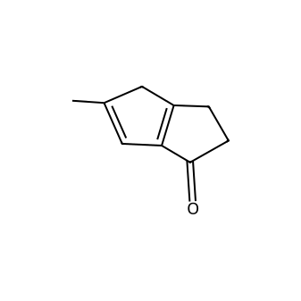 CC1=CC2=C(CCC2=O)C1